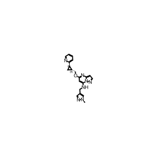 Cn1cc(CNc2cc(OC[C@@H]3C[C@H]3c3ccccn3)nc3ccnn23)cn1